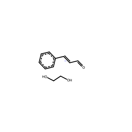 O=C/C=C/c1ccccc1.OCCO